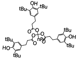 CCCC(OC(=O)CCc1cc(C(C)(C)C)c(O)c(C(C)(C)C)c1)(OC(=O)CCc1cc(C(C)(C)C)c(O)c(C(C)(C)C)c1)OC(=O)CCc1cc(C(C)(C)C)c(O)c(C(C)(C)C)c1